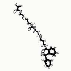 C=C(C)C(=O)OCCOCCNC(=O)OCCCOCCCOC(=O)c1ccccc1C(=O)c1ccccc1